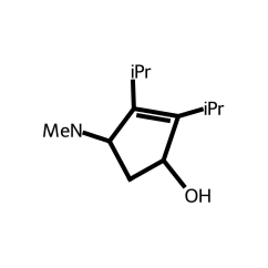 CNC1CC(O)C(C(C)C)=C1C(C)C